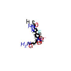 CC(=O)Nc1ccc(-c2ccc([N+]3([O-])COC(CCC(N)=O)C3)cc2F)cn1